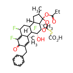 CCC(=O)O[C@]1(OC(=O)SC(=O)O)[C@H](C)C[C@H]2[C@@H]3C[C@H](F)C4=C(F)C(=O)C(Cc5ccccc5)=C[C@]4(C)[C@]3(F)[C@@H](O)C[C@@]21C